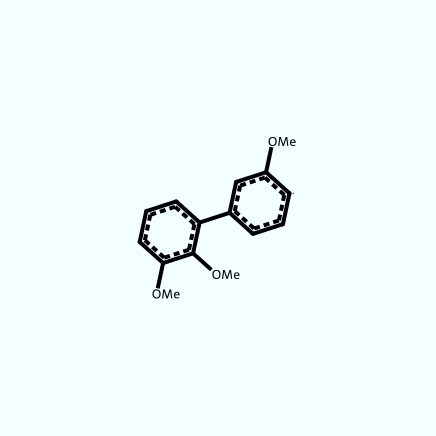 COc1[c]ccc(-c2cccc(OC)c2OC)c1